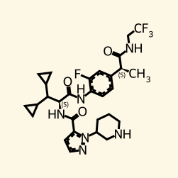 C[C@H](C(=O)NCC(F)(F)F)c1ccc(NC(=O)[C@@H](NC(=O)c2ccnn2C2CCCNC2)C(C2CC2)C2CC2)c(F)c1